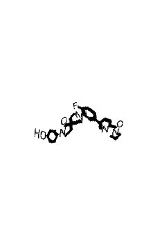 O=C(c1ccc(-c2ccc(F)c(N3CCC4(CC3)CCN([C@H]3CC[C@@H](O)CC3)C4=O)c2)cn1)N1CCC1